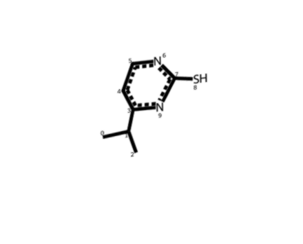 CC(C)c1ccnc(S)n1